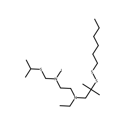 CCCCCCSSC(C)(C)CN(CC)CCN(I)CSC(C)C